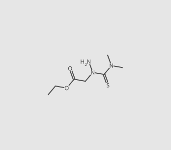 CCOC(=O)CN(N)C(=S)N(C)C